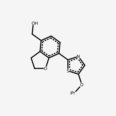 CC(C)Oc1cnc(-c2ccc(CO)c3c2OCC3)s1